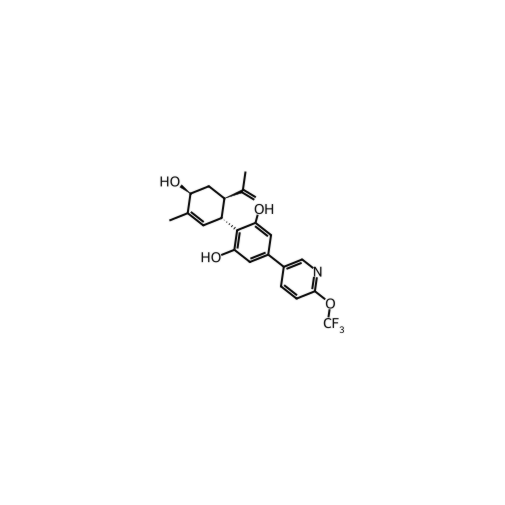 C=C(C)[C@@H]1C[C@H](O)C(C)=C[C@H]1c1c(O)cc(-c2ccc(OC(F)(F)F)nc2)cc1O